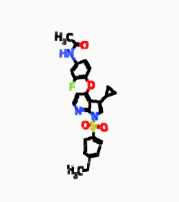 CCc1ccc(S(=O)(=O)n2cc(C3CC3)c3c(Oc4ccc(NC(C)=O)cc4F)ccnc32)cc1